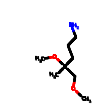 COC[Si](C)(CCCN)OC